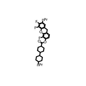 CCCc1cc2c(c(F)c1F)Oc1c(ccc(OC(=O)C3CCC(C4CCC(CCC)CC4)CC3)c1F)C2